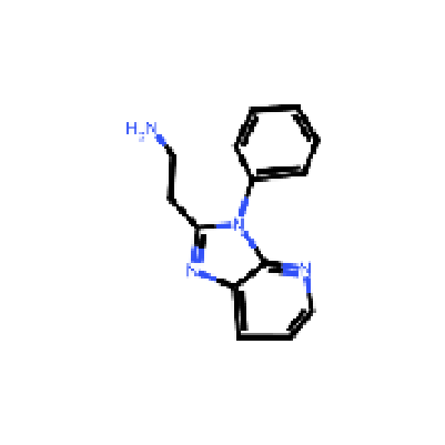 NCCc1nc2cccnc2n1-c1ccccc1